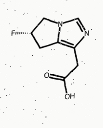 O=C(O)Cc1ncn2c1C[C@H](F)C2